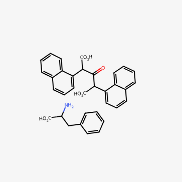 NC(Cc1ccccc1)C(=O)O.O=C(O)C(C(=O)C(C(=O)O)c1cccc2ccccc12)c1cccc2ccccc12